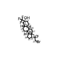 C[C@]12CC[C@](O)(C(F)(F)F)C[C@H]1CC[C@@H]1[C@@H]2CC[C@]2(C)[C@@H](C(=O)CBr)CC[C@@H]12